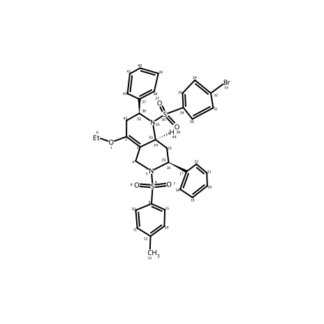 CCOC1=C2CN(S(=O)(=O)c3ccc(C)cc3)[C@H](c3ccccc3)C[C@@H]2N(S(=O)(=O)c2ccc(Br)cc2)[C@H](c2ccccc2)C1